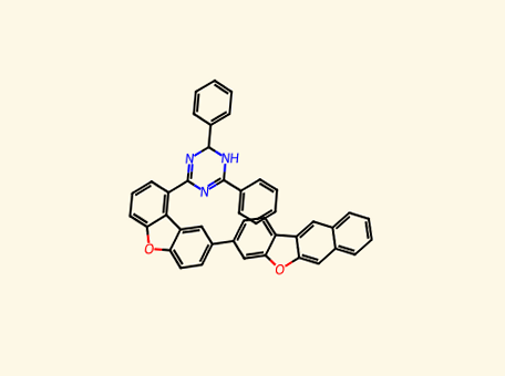 c1ccc(C2=NC(c3cccc4oc5ccc(-c6ccc7c(c6)oc6cc8ccccc8cc67)cc5c34)=NC(c3ccccc3)N2)cc1